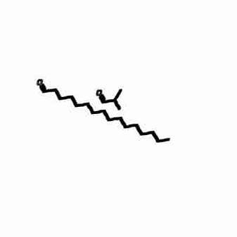 CC(C)C=O.CCCCCCCCCCCCCCCC=O